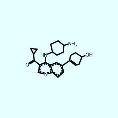 NC1CCC(Nc2c(C(=O)C3CC3)cnc3ccc(C4=CCC(O)CC4)cc23)CC1